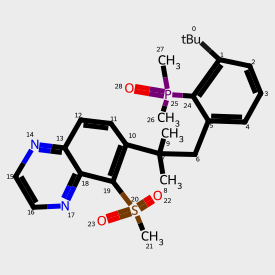 CC(C)(C)c1cccc(CC(C)(C)c2ccc3nccnc3c2S(C)(=O)=O)c1P(C)(C)=O